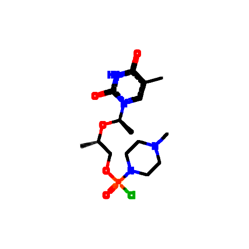 Cc1cn([C@@H](C)O[C@@H](C)COP(=O)(Cl)N2CCN(C)CC2)c(=O)[nH]c1=O